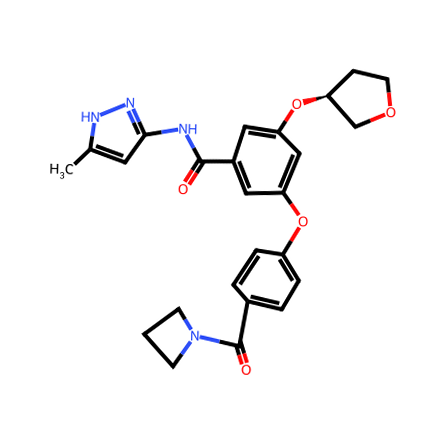 Cc1cc(NC(=O)c2cc(Oc3ccc(C(=O)N4CCC4)cc3)cc(O[C@H]3CCOC3)c2)n[nH]1